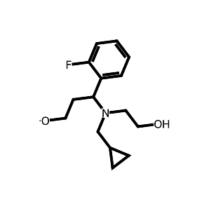 [O]CCC(c1ccccc1F)N(CCO)CC1CC1